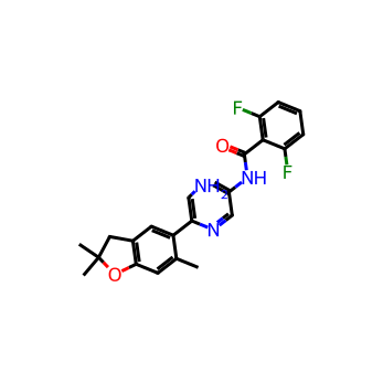 C=C(/C=N\C(=C/N)c1cc2c(cc1C)OC(C)(C)C2)NC(=O)c1c(F)cccc1F